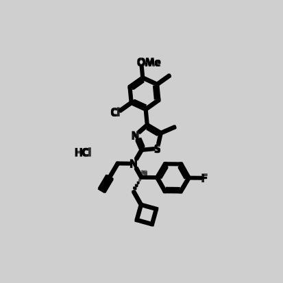 C#CCN(c1nc(-c2cc(C)c(OC)cc2Cl)c(C)s1)[C@@H](CC1CCC1)c1ccc(F)cc1.Cl